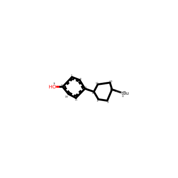 CC(C)(C)C1CCC(c2ccc(O)cc2)CC1